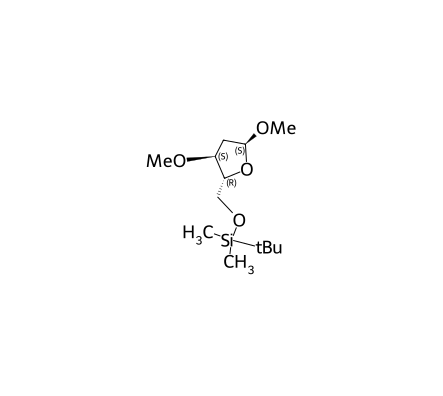 CO[C@@H]1C[C@H](OC)[C@@H](CO[Si](C)(C)C(C)(C)C)O1